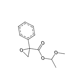 COC(C)OC(=O)C1(c2ccccc2)CO1